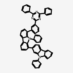 c1ccc(-c2nc(-c3ccccc3)nc(-c3cccc(-c4cccc5c6cccc(-c7ccc8c9ccccc9n(-c9ccccc9)c8c7)c6n(-c6ccccc6)c45)c3)n2)cc1